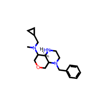 CN(CC1CC1)C1COCC2[C@@H]1NCCN2Cc1ccccc1